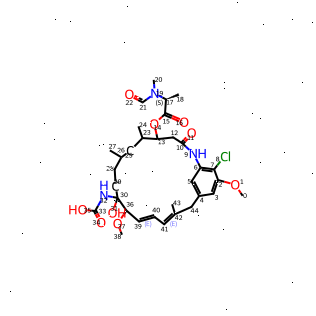 COc1cc2cc(c1Cl)NC(=O)CC(OC(=O)[C@H](C)N(C)C=O)C(C)CC(C)CCC(O)(NC(=O)O)C(OC)/C=C/C=C(\C)C2